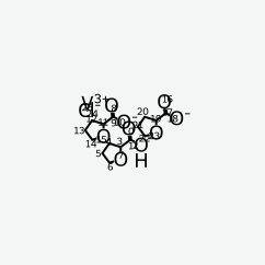 O=C(O)C1CCCO1.O=C([O-])C1CCCO1.O=C([O-])C1CCCO1.[Cl-].[V+3]